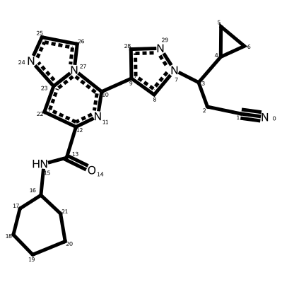 N#CCC(C1CC1)n1cc(-c2nc(C(=O)NC3CCCCC3)cc3nccn23)cn1